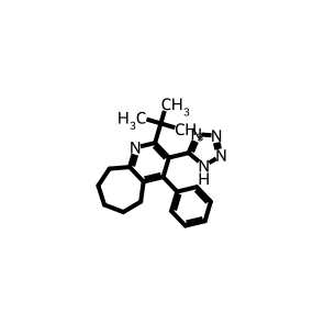 CC(C)(C)c1nc2c(c(-c3ccccc3)c1-c1nnn[nH]1)CCCCC2